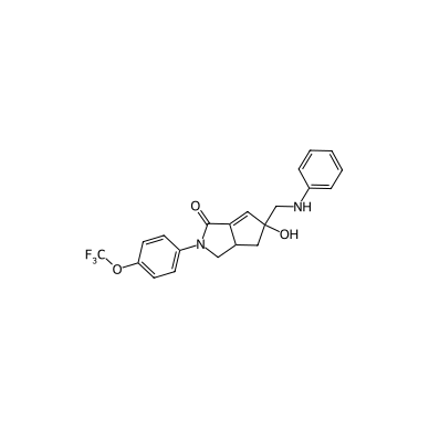 O=C1C2=CC(O)(CNc3ccccc3)CC2CN1c1ccc(OC(F)(F)F)cc1